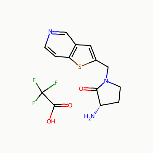 N[C@H]1CCN(Cc2cc3cnccc3s2)C1=O.O=C(O)C(F)(F)F